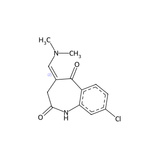 CN(C)/C=C1/CC(=O)Nc2cc(Cl)ccc2C1=O